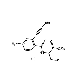 COC(=O)C(CC(C)C)NC(=O)c1ccc(N)cc1C#CC(C)(C)C.Cl